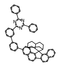 c1ccc(-c2nc(-c3ccccc3)nc(-c3cccc(-c4cccc(-c5ccc6c7c(ccc6c5)-c5ccc6ccccc6c5C75C6CCC7CCC(C6)CC75)c4)c3)n2)cc1